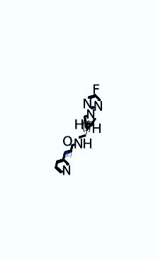 O=C(/C=C/c1cccnc1)NCC[C@@H]1[C@H]2CN(c3ncc(F)cn3)C[C@@H]12